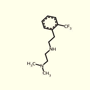 CN(C)CCNCCc1ccccc1C(F)(F)F